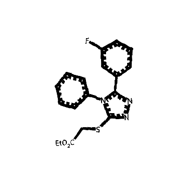 CCOC(=O)CSc1nnc(-c2cccc(F)c2)n1-c1ccccc1